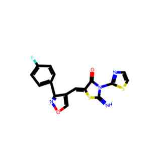 N=C1S/C(=C\c2conc2-c2ccc(F)cc2)C(=O)N1c1nccs1